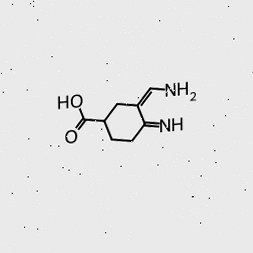 N=C1CCC(C(=O)O)C/C1=C/N